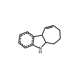 C1=CC2c3ccccc3NC2CCC1